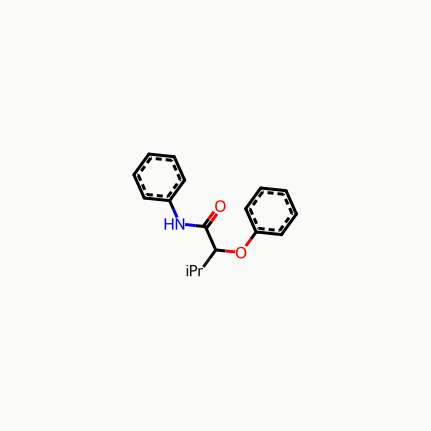 CC(C)C(Oc1ccccc1)C(=O)Nc1ccccc1